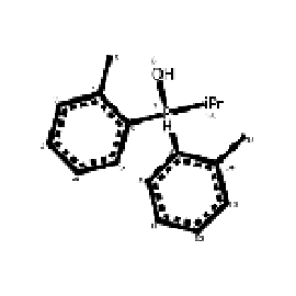 Cc1ccccc1[PH](O)(c1ccccc1C)C(C)C